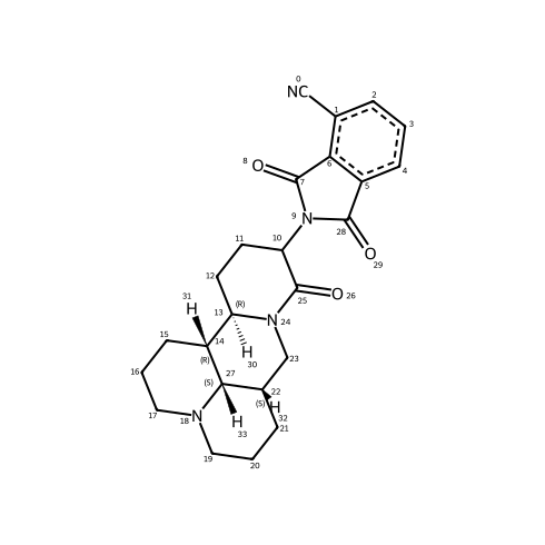 N#Cc1cccc2c1C(=O)N(C1CC[C@@H]3[C@H]4CCCN5CCC[C@@H](CN3C1=O)[C@@H]45)C2=O